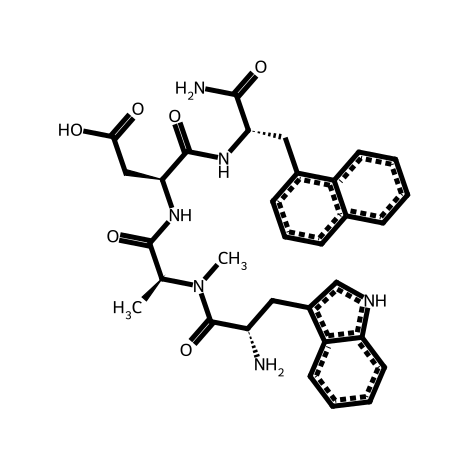 C[C@@H](C(=O)N[C@@H](CC(=O)O)C(=O)N[C@@H](Cc1cccc2ccccc12)C(N)=O)N(C)C(=O)[C@@H](N)Cc1c[nH]c2ccccc12